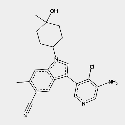 Cc1cc2c(cc1C#N)c(-c1cncc(N)c1Cl)cn2C1CCC(C)(O)CC1